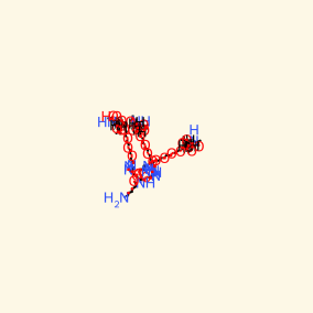 CC(=O)N[C@@H]1[C@H]2OC(C)(C)O[C@H]2[C@@](C)(COCCOCCOCCOCCn2cc(COCC(COCc3cn(CCOCCOCCOCCOC[C@@]45CO[C@@H](O4)[C@H](NC(C)=O)[C@H]4OC(C)(C)O[C@H]45)nn3)(COCc3cn(CCOCCOCCOCCOC[C@@]45CO[C@@H](O4)[C@H](NC(C)=O)[C@H]4OC(C)(C)O[C@H]45)nn3)NC(=O)CCCCCN)nn2)O[C@@H]1O